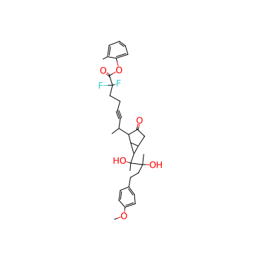 COc1ccc(CCC(C)(O)C(C)(O)C2C3CC(=O)C(C(C)C#CCCC(F)(F)C(=O)Oc4ccccc4C)C32)cc1